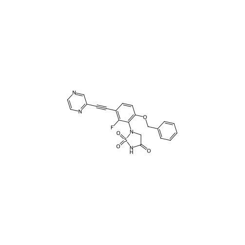 O=C1CN(c2c(OCc3ccccc3)ccc(C#Cc3cnccn3)c2F)S(=O)(=O)N1